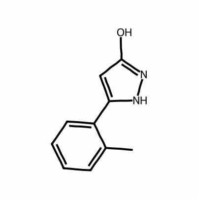 Cc1ccccc1-c1cc(O)n[nH]1